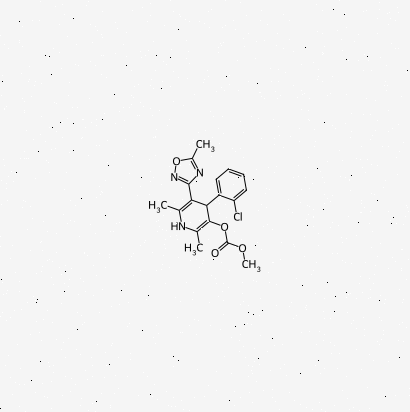 COC(=O)OC1=C(C)NC(C)=C(c2noc(C)n2)C1c1ccccc1Cl